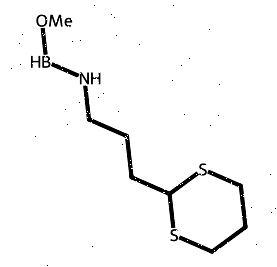 COBNCCCC1SCCCS1